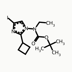 CCN(C(=O)OC(C)(C)C)n1cc(I)nc1C1CCC1